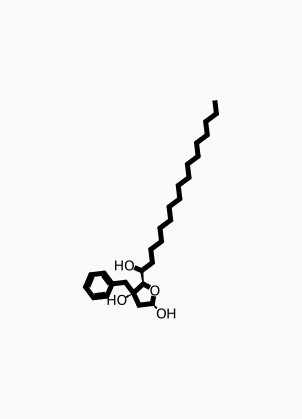 CCCCCCCCCCCCCCCCC(O)[C@H]1O[C@H](O)C[C@@]1(O)Cc1ccccc1